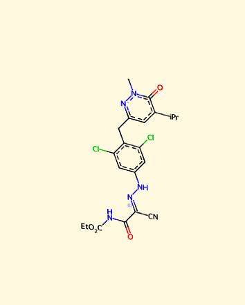 CCOC(=O)NC(=O)/C(C#N)=N/Nc1cc(Cl)c(Cc2cc(C(C)C)c(=O)n(C)n2)c(Cl)c1